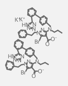 CCCN(Cc1ccc(-c2ccccc2-c2nnn[nH]2)cc1)c1nn(CCc2ccccc2)c(Br)c1C(=O)[O-].CCCN(Cc1ccc(-c2ccccc2-c2nnn[nH]2)cc1)c1nn(CCc2ccccc2)c(Br)c1C(=O)[O-].[K+].[K+]